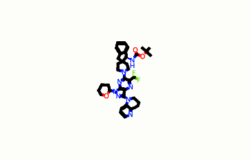 CC(C)(C)OC(=O)N[C@@H]1c2ccccc2CC12CCN(c1nc3c(nc1C(F)F)c(N1CCCc4ncccc41)nn3C1CCCCO1)CC2